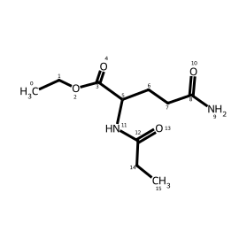 CCOC(=O)C(CCC(N)=O)NC(=O)CC